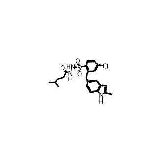 Cc1cc2cc(Cc3cc(Cl)ccc3S(=O)(=O)NNC(=O)CCC(C)C)ccc2[nH]1